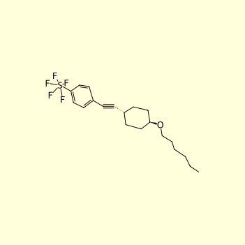 CCCCCCO[C@H]1CC[C@H](C#Cc2ccc(S(F)(F)(F)(F)F)cc2)CC1